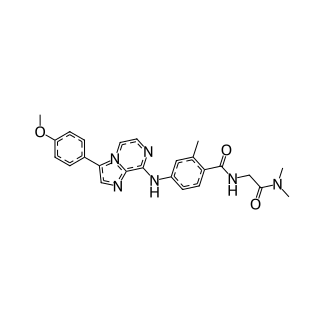 COc1ccc(-c2cnc3c(Nc4ccc(C(=O)NCC(=O)N(C)C)c(C)c4)nccn23)cc1